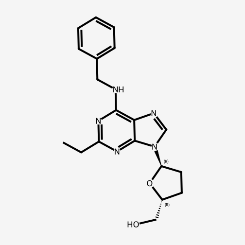 CCc1nc(NCc2ccccc2)c2ncn([C@H]3CC[C@H](CO)O3)c2n1